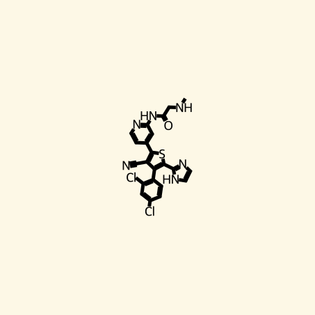 CNCC(=O)Nc1cc(-c2sc(-c3ncc[nH]3)c(-c3ccc(Cl)cc3Cl)c2C#N)ccn1